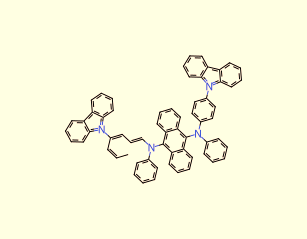 C\C=C/C(=C\C=C\N(c1ccccc1)c1c2ccccc2c(N(c2ccccc2)c2ccc(-n3c4ccccc4c4ccccc43)cc2)c2ccccc12)n1c2ccccc2c2ccccc21